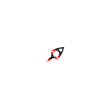 O=c1oc2c(o1)C2